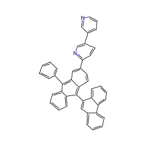 c1ccc(-c2c3ccccc3c(-c3cc4ccccc4c4ccccc34)c3ccc(-c4ccc(-c5cccnc5)cn4)cc23)cc1